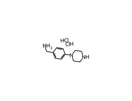 Cl.Cl.NCc1ccc(N2CCNCC2)cc1